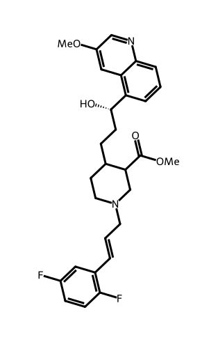 COC(=O)C1CN(CC=Cc2cc(F)ccc2F)CCC1CC[C@H](O)c1cccc2ncc(OC)cc12